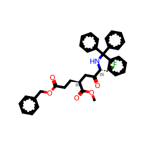 COC(=O)[C@@H](CCC(=O)OCc1ccccc1)CC(=O)[C@@H](CF)NC(c1ccccc1)(c1ccccc1)c1ccccc1